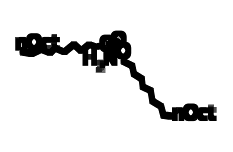 CCCCCCCC/C=C\CCCCCCCCOP(N)(=O)OCCCCCCCC/C=C\CCCCCCCC